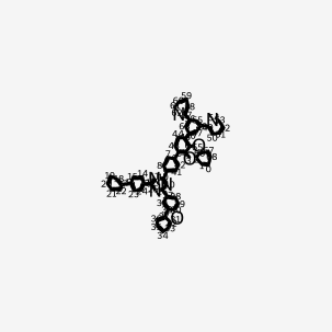 C1=CC2Oc3c(-c4ccc(-c5nc(-c6ccc(-c7ccccc7)cc6)nc(-c6ccc7oc8ccccc8c7c6)n5)cc4)ccc(-c4cc(-c5ccccn5)cc(-c5ccccn5)c4)c3OC2C=C1